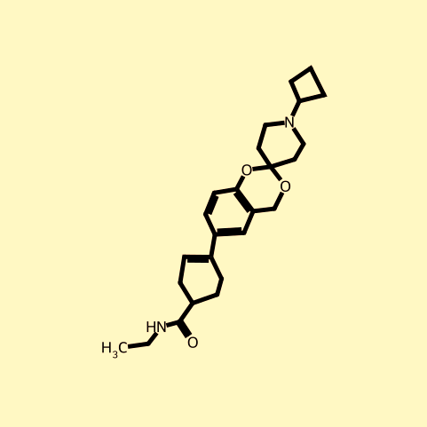 CCNC(=O)C1CC=C(c2ccc3c(c2)COC2(CCN(C4CCC4)CC2)O3)CC1